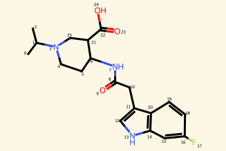 CC(C)N1CCC(NC(=O)Cc2c[nH]c3cc(F)ccc23)C(C(=O)O)C1